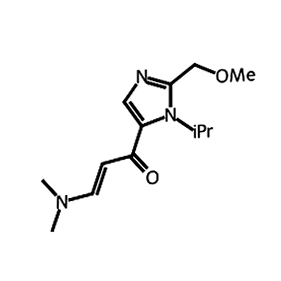 COCc1ncc(C(=O)C=CN(C)C)n1C(C)C